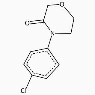 O=C1COCCN1c1ccc(Cl)cc1